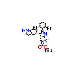 CCc1cccc(CC)c1-n1nc2c(c1-c1ccc3[nH]ccc3c1)CN(C(=O)OC(C)(C)C)C2(C)C